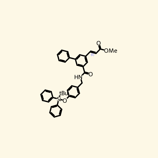 COC(=O)/C=C/c1cc(C(=O)NCc2ccc(O[Si](c3ccccc3)(c3ccccc3)C(C)(C)C)cc2)cc(-c2ccccc2)c1